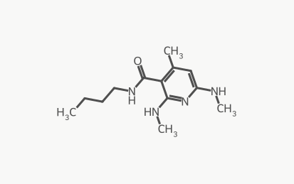 CCCCNC(=O)c1c(C)cc(NC)nc1NC